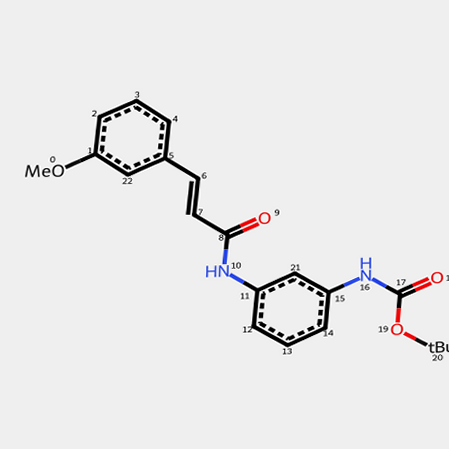 COc1cccc(C=CC(=O)Nc2cccc(NC(=O)OC(C)(C)C)c2)c1